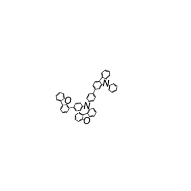 c1ccc(-n2c3ccccc3c3ccc(-c4ccc(N(c5ccc(-c6cccc7c6oc6ccccc67)cc5)c5cccc6oc7ccccc7c56)cc4)cc32)cc1